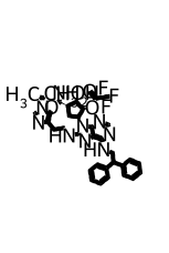 CC(C)n1cnc(CCNc2nc3c(NCC(c4ccccc4)c4ccccc4)ncnc3n2[C@@H]2C[C@H](C(N)=O)[C@@H](O)[C@H]2OC(=O)C(F)(F)F)c1